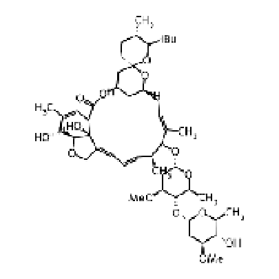 CC[C@H](C)[C@H]1O[C@]2(CC[C@@H]1C)C[C@@H]1C[C@@H](C/C=C(\C)[C@@H](O[C@H]3C[C@H](OC)[C@@H](O[C@H]4C[C@H](OC)[C@@H](O)[C@H](C)O4)[C@H](C)O3)[C@@H](C)/C=C/C=C3\CO[C@@H]4[C@H](O)C(C)=CC(C(=O)O1)[C@]34O)O2